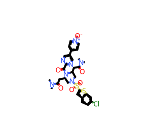 CN(C)C(=O)CC1CN(S(=O)(=O)c2cc3ccc(Cl)cc3s2)CC(CC(=O)N(C)C)N1C(=O)c1ncc(-c2cc[n+]([O-])cc2)cn1